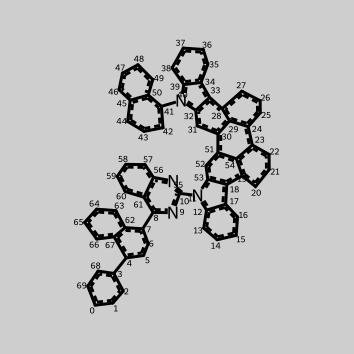 c1ccc(-c2ccc(-c3nc(-n4c5ccccc5c5c6cccc7c8cccc9c8c(cc8c9c9ccccc9n8-c8cccc9ccccc89)c(cc54)c76)nc4ccccc34)c3ccccc23)cc1